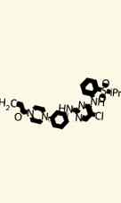 C=CC(=O)N1CCN([C@H]2CCC[C@@H](Nc3ncc(Cl)c(Nc4ccccc4S(=O)(=O)C(C)C)n3)C2)CC1